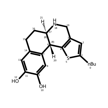 CCCCc1cc2c(s1)[C@@H]1c3cc(O)c(O)cc3CC[C@H]1NC2